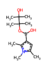 Cc1cc(B(O)OC(C)(C)C(C)(C)O)c(C)n1C